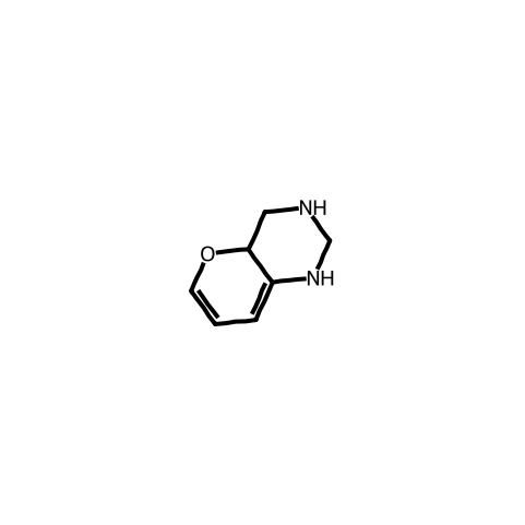 C1=COC2CNCNC2=C1